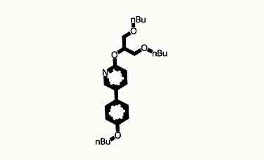 CCCCOCC(COCCCC)Oc1ccc(-c2ccc(OCCCC)cc2)cn1